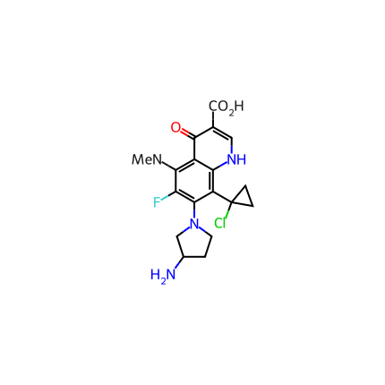 CNc1c(F)c(N2CCC(N)C2)c(C2(Cl)CC2)c2[nH]cc(C(=O)O)c(=O)c12